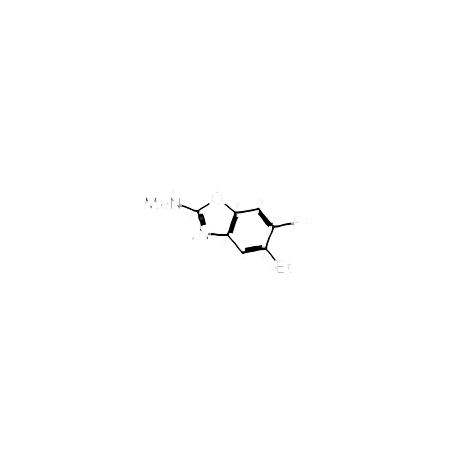 CCc1cc2nc(NC)oc2cc1F